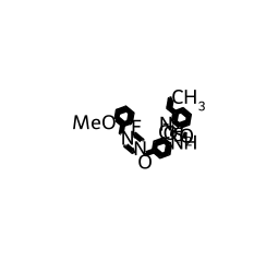 C=Nc1c(/C=C\C)cccc1S(=O)(=O)Nc1ccc(C(=O)N2CCN(Cc3c(F)cccc3OC)CC2)cc1